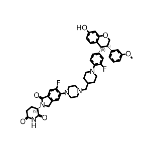 COc1cccc([C@H]2COc3cc(O)ccc3[C@H]2c2ccc(N3CCC(CN4CCN(c5cc6c(cc5F)C(=O)N([C@H]5CCC(=O)NC5=O)C6)CC4)CC3)c(F)c2)c1